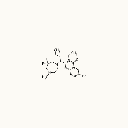 CCCC(c1nc2ccc(Br)cc2c(=O)n1CC)N1CCN(C)CC(F)(F)C1